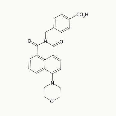 O=C(O)c1ccc(CN2C(=O)c3cccc4c(N5CCOCC5)ccc(c34)C2=O)cc1